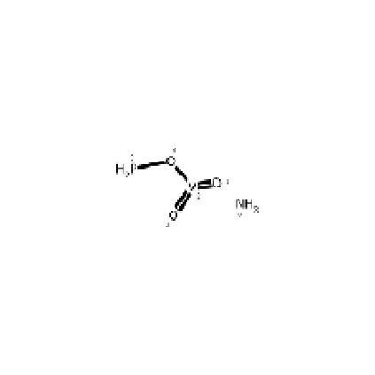 N.[O]=[V](=[O])[O]P